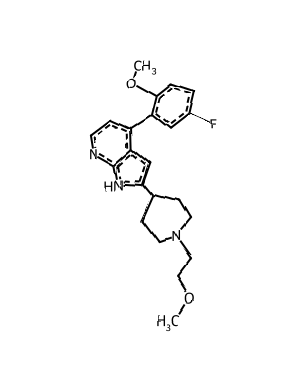 COCCN1CCC(c2cc3c(-c4cc(F)ccc4OC)ccnc3[nH]2)CC1